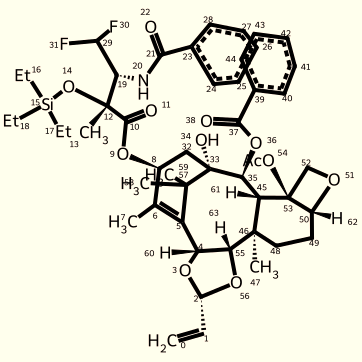 C=C[C@@H]1O[C@@H]2C3=C(C)[C@@H](OC(=O)[C@](C)(O[Si](CC)(CC)CC)[C@@H](NC(=O)c4ccccc4)C(F)F)C[C@@](O)([C@@H](OC(=O)c4ccccc4)[C@H]4[C@@](C)(CC[C@H]5OC[C@]54OC(C)=O)[C@@H]2O1)C3(C)C